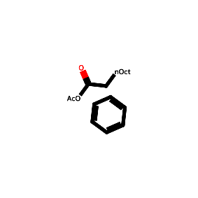 CCCCCCCCCC(=O)OC(C)=O.c1ccccc1